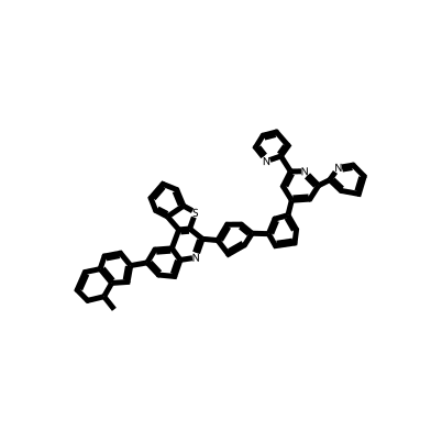 CC1CC=Cc2ccc(-c3ccc4nc(-c5ccc(-c6cccc(-c7cc(-c8ccccn8)nc(-c8ccccn8)c7)c6)cc5)c5sc6ccccc6c5c4c3)cc21